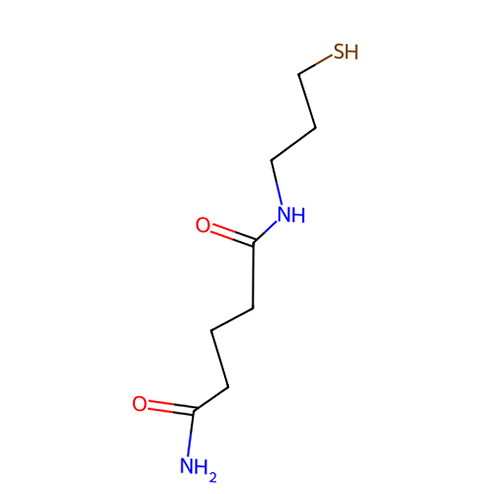 NC(=O)CCCC(=O)NCCCS